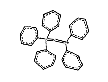 c1ccc([PH](=[N+]=P(c2ccccc2)(c2ccccc2)c2ccccc2)c2ccccc2)cc1